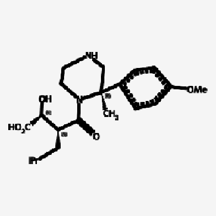 COc1ccc([C@]2(C)CNCCN2C(=O)[C@@H](CC(C)C)[C@H](O)C(=O)O)cc1